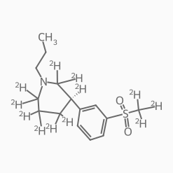 [2H]C1([2H])N(CCC)C([2H])([2H])[C@@]([2H])(c2cccc(S(=O)(=O)C([2H])([2H])[2H])c2)C([2H])([2H])C1([2H])[2H]